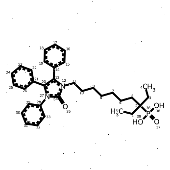 CCC(CC)(CCCCCCCn1c(-c2ccccc2)c(-c2ccccc2)n(-c2ccccc2)c1=O)P(=O)(O)O